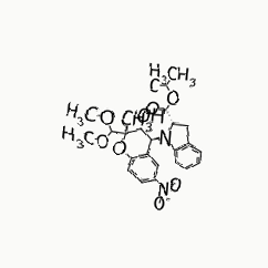 COC(OC)[C@@]1(C)Oc2ccc([N+](=O)[O-])cc2[C@H](N2c3ccccc3C[C@H]2C(=O)OC(C)C)[C@H]1O